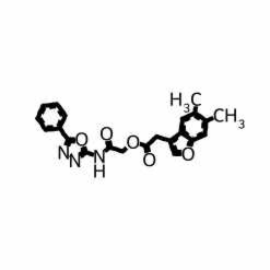 Cc1cc2occ(CC(=O)OCC(=O)Nc3nnc(-c4ccccc4)o3)c2cc1C